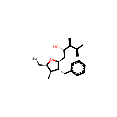 C=C(C)C(=C)[C@@H](O)C[C@@H]1O[C@H](C[C@H](C)CC)[C@H](C)[C@H]1Cc1ccccc1